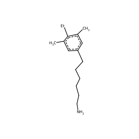 CCc1c(C)cc(CCCCCCN)cc1C